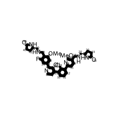 COc1cc(-c2nccc(-c3cccc(-c4ccc(CNC[C@H]5CCC(=O)N5)c(OC)n4)c3Cl)c2Cl)cc(F)c1CNC[C@H]1CCC(=O)N1